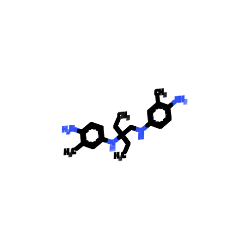 CCC(CC)(CNc1ccc(N)c(C)c1)Nc1ccc(N)c(C)c1